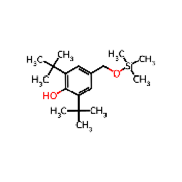 CC(C)(C)c1cc(CO[Si](C)(C)C)cc(C(C)(C)C)c1O